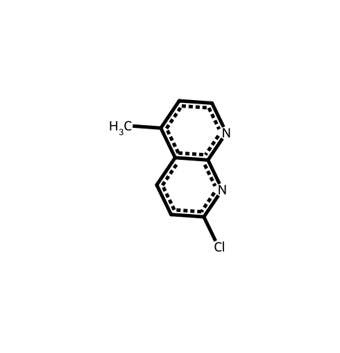 Cc1ccnc2nc(Cl)ccc12